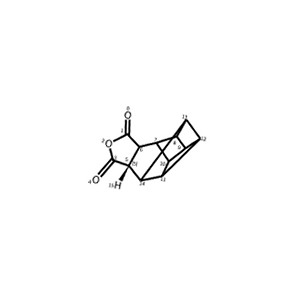 O=C1OC(=O)[C@@H]2C1C1C3C4C1C1C4C3C12